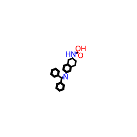 O=C(O)N[C@H]1CCc2cc(N=C(c3ccccc3)c3ccccc3)ccc2C1